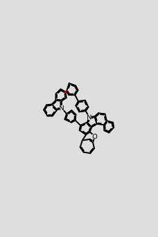 C1=CC2=CC(C=C1)c1cc(-c3ccc(-n4c5ccccc5c5ccccc54)cc3)c3c(c1O2)c1c2ccccc2ccc1n3-c1ccc(-c2ccccc2)cc1